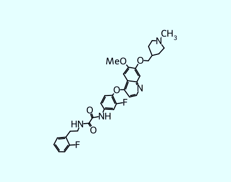 COc1cc2c(Oc3ccc(NC(=O)C(=O)NCCc4ccccc4F)cc3F)ccnc2cc1OCC1CCN(C)CC1